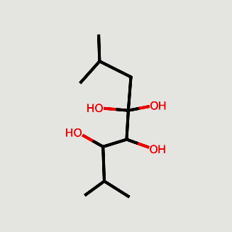 CC(C)CC(O)(O)C(O)C(O)C(C)C